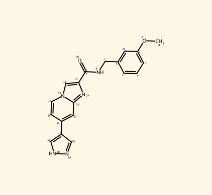 COc1cccc(CNC(=O)c2cn3ccc(-c4cn[nH]c4)cc3n2)c1